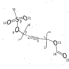 CC(C)(C#CC(C)(C)OS(C)(=O)=O)OC=O